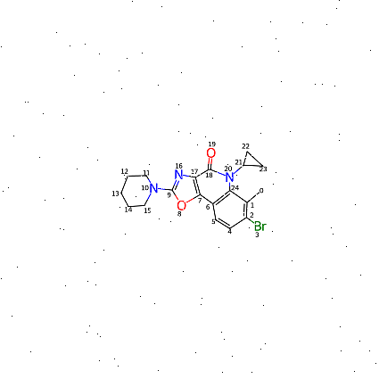 Cc1c(Br)ccc2c3oc(N4CCCCC4)nc3c(=O)n(C3CC3)c12